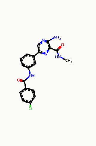 CNC(=O)c1nc(-c2cccc(NC(=O)c3ccc(Cl)cc3)c2)cnc1N